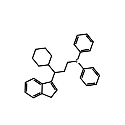 C1=C(C(CCP(c2ccccc2)c2ccccc2)C2CCCCC2)c2ccccc2C1